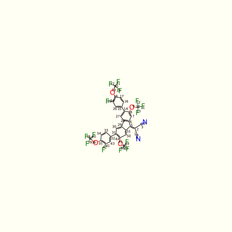 N#CC(C#N)=C1c2cc(OC(F)(F)F)c(-c3ccc(OC(F)(F)F)c(F)c3)cc2-c2cc(-c3ccc(OC(F)(F)F)c(F)c3)c(OC(F)(F)F)cc21